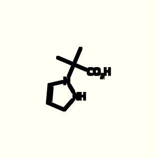 CC(C)(C(=O)O)N1C=CCN1